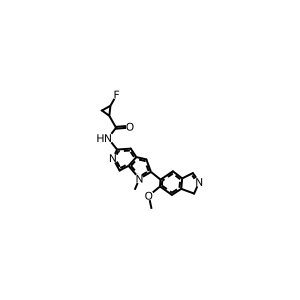 COc1cc2c(cc1-c1cc3cc(NC(=O)C4CC4F)ncc3n1C)C=NC2